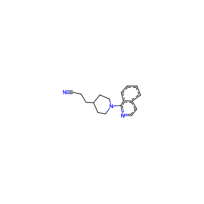 N#CCCC1CCN(c2nccc3ccccc23)CC1